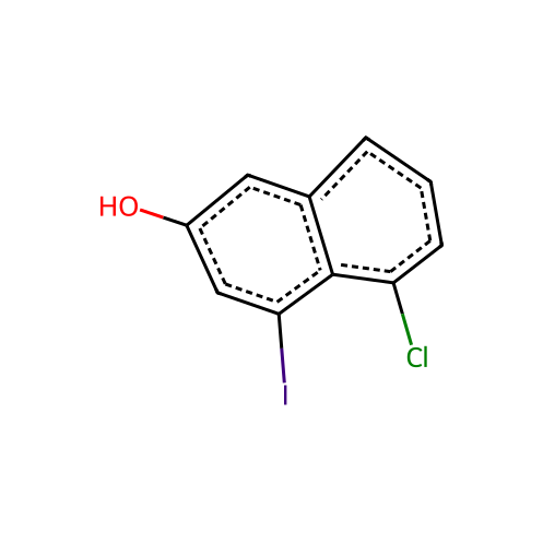 Oc1cc(I)c2c(Cl)cccc2c1